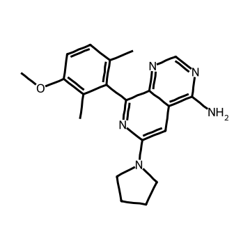 COc1ccc(C)c(-c2nc(N3CCCC3)cc3c(N)ncnc23)c1C